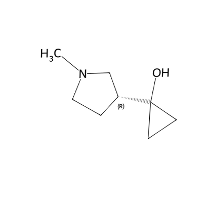 CN1CC[C@@H](C2(O)CC2)C1